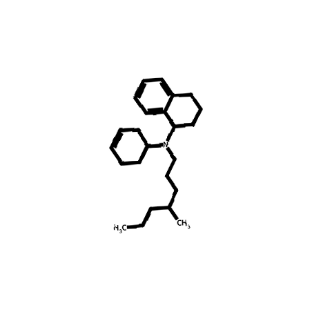 CCCC(C)CCCN(C1CC=CCC1)C1CCCc2ccccc21